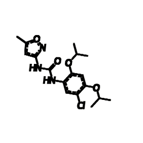 Cc1cc(NC(=O)Nc2cc(Cl)c(OC(C)C)cc2OC(C)C)no1